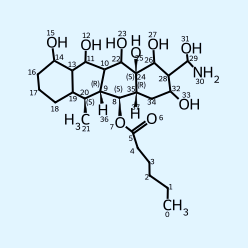 CCCCCC(=O)O[C@H]1[C@H]2C(C(O)C3C(O)CCCC3[C@@H]2C)C(O)[C@]2(O)C(O)C(C(N)O)C(O)C[C@H]12